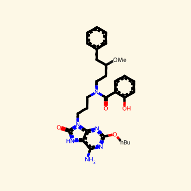 CCCCOc1nc(N)c2[nH]c(=O)n(CCCN(CCC(Cc3ccccc3)OC)C(=O)c3ccccc3O)c2n1